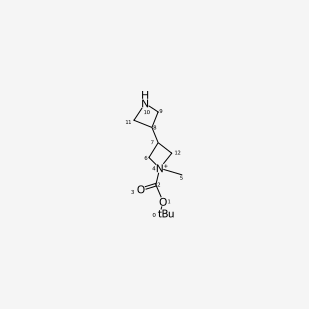 CC(C)(C)OC(=O)[N+]1(C)CC(C2CNC2)C1